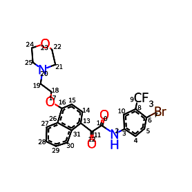 O=C(Nc1ccc(Br)c(C(F)(F)F)c1)C(=O)c1ccc(OCCN2CCOCC2)c2ccccc12